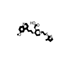 COc1ccc2nccc(CCC[C@@H]3CCN(CCSc4sccc4C)C[C@@H]3CC(=O)O)c2c1